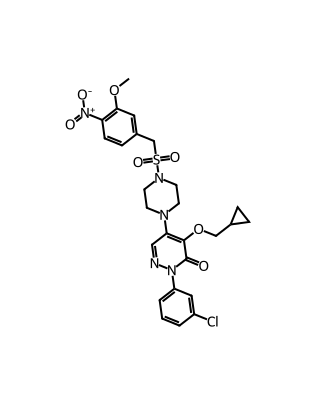 COc1cc(CS(=O)(=O)N2CCN(c3cnn(-c4cccc(Cl)c4)c(=O)c3OCC3CC3)CC2)ccc1[N+](=O)[O-]